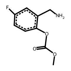 COC(=O)Oc1ccc(F)cc1CN